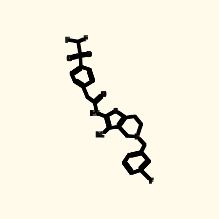 N#Cc1c(NC(=O)Cc2ccc(S(=O)(=O)C(F)F)cc2)sc2c1CN(Cc1cccc(F)c1)CC2